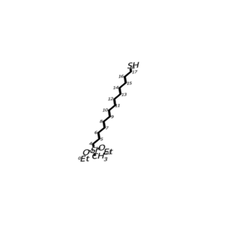 CCO[Si](C)(CCCCCCCCCCCCCCS)OCC